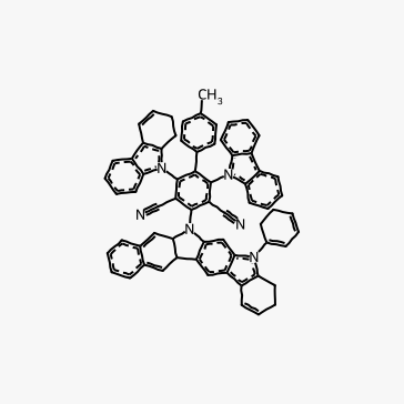 Cc1ccc(-c2c(-n3c4c(c5ccccc53)C=CCC4)c(C#N)c(N3c4cc5c(cc4C4C=c6ccccc6=CC43)c3c(n5C4=CC=CCC4)CCC=C3)c(C#N)c2-n2c3ccccc3c3ccccc32)cc1